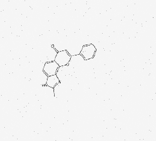 Cc1nc2c(ccc3c(=O)cc(-c4ccccc4)oc32)[nH]1